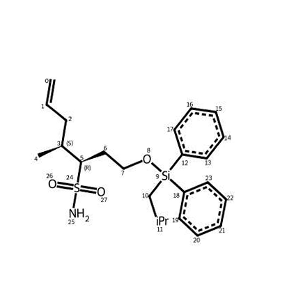 C=CC[C@H](C)[C@@H](CCO[Si](CC(C)C)(c1ccccc1)c1ccccc1)S(N)(=O)=O